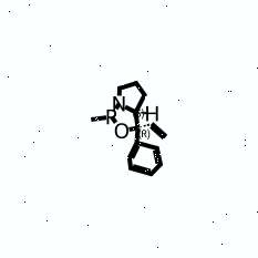 C=C[C@]1(c2ccccc2)OP(C)N2CCC[C@H]21